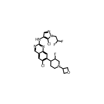 FC(F)Cn1ncc(Nc2ncc3cc(Cl)c(C4CCN(C5COC5)CC4F)cc3n2)c1Cl